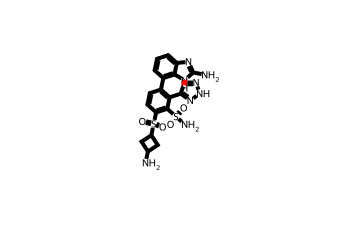 Nc1nc2cccc(-c3ccc(S(=O)(=O)C4CC(N)C4)c(S(N)(=O)=O)c3-c3nn[nH]n3)c2[nH]1